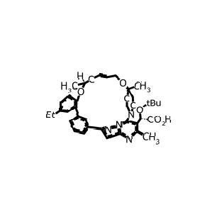 CCc1ccc2c(c1)-c1cccc(c1)-c1cc3nc(C)c([C@H](OC(C)(C)C)C(=O)O)c(n3n1)N1CCC(C)(CC1)OC/C=C/C[C@H](C)O2